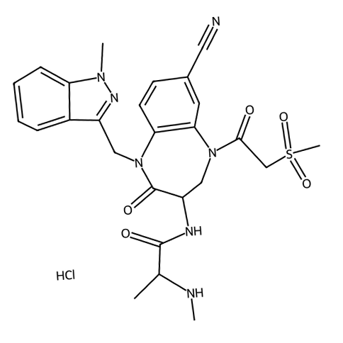 CNC(C)C(=O)NC1CN(C(=O)CS(C)(=O)=O)c2cc(C#N)ccc2N(Cc2nn(C)c3ccccc23)C1=O.Cl